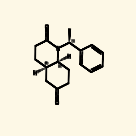 C[C@@H](c1ccccc1)N1C(=O)CC[C@@H]2CC(=O)CC[C@@H]21